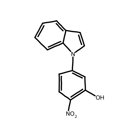 O=[N+]([O-])c1ccc(-n2ccc3ccccc32)cc1O